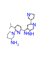 CC(C)c1ccc(-c2n[nH]c3cnc(-c4cccnc4)cc23)nc1N1CCCC(N)C1